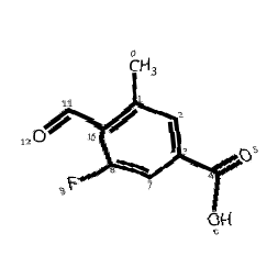 Cc1cc(C(=O)O)cc(F)c1C=O